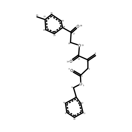 C=C(CC(=O)OCc1ccccc1)C(=O)OCC(=O)c1ccc(C)cc1